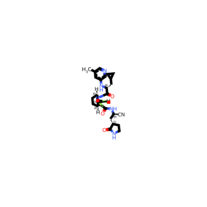 Cc1cncc(N[C@H](CC2CC2)C(=O)N2[C@@H]3CC[C@H]([C@H]2C(=O)N[C@@H](C#N)C[C@@H]2CCNC2=O)C(F)(F)C3)c1